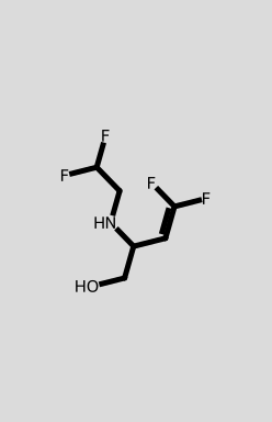 OCC(C=C(F)F)NCC(F)F